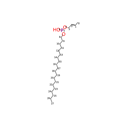 CC=CCOP(O)OCCCCCCCCCCCCCCCCCCCC